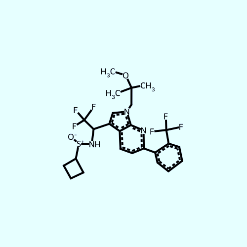 COC(C)(C)Cn1cc(C(N[S+]([O-])C2CCC2)C(F)(F)F)c2ccc(-c3ccccc3C(F)(F)F)nc21